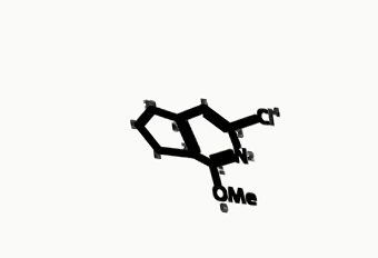 COc1nc(Cl)cc2c1CCC2